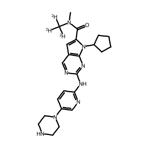 [2H]C([2H])([2H])N(C)C(=O)c1cc2cnc(Nc3ccc(N4CCNCC4)cn3)nc2n1C1CCCC1